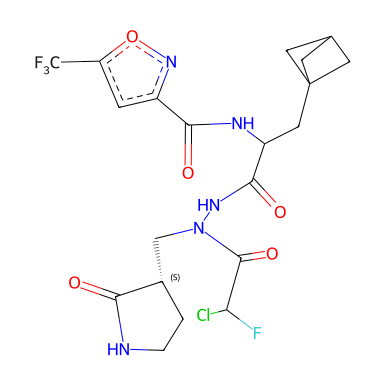 O=C(NC(CC12CC(C1)C2)C(=O)NN(C[C@@H]1CCNC1=O)C(=O)C(F)Cl)c1cc(C(F)(F)F)on1